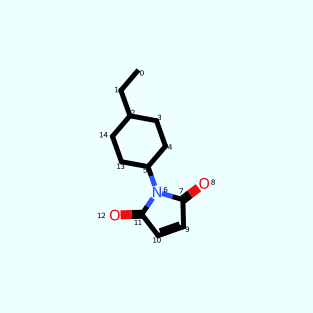 CCC1CCC(N2C(=O)C=CC2=O)CC1